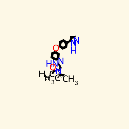 CC[C@H](C)N(Cc1nc2cc(Oc3ccc(-c4ccn[nH]4)cc3)ccc2[nH]1)C(C)=O